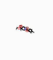 CCOC(=O)C1(C)CCN(S(=O)(=O)c2ccc(C)cc2)CCC1=O